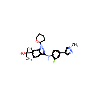 Cn1cc(-c2ccc(Nc3nn(C4CCCCO4)c4cc(C(C)(C)O)ccc34)c(F)c2)cn1